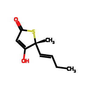 CCC=C[C@@]1(C)SC(=O)C=C1O